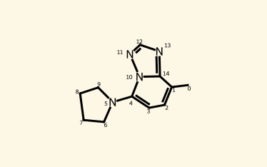 Cc1ccc(N2CCCC2)n2ncnc12